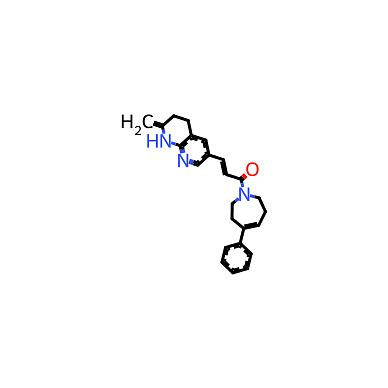 C=C1CCc2cc(/C=C/C(=O)N3CCC=C(c4ccccc4)CC3)cnc2N1